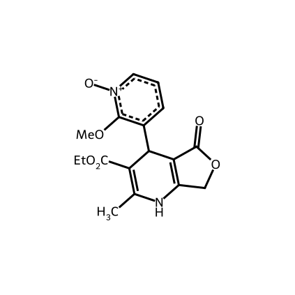 CCOC(=O)C1=C(C)NC2=C(C(=O)OC2)C1c1ccc[n+]([O-])c1OC